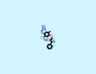 CCN(C)/C=N\c1cc(C)c(Oc2snc(-c3ccccc3F)c2C#N)cc1Cl